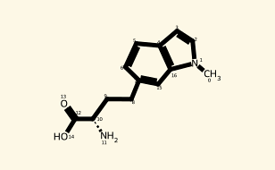 Cn1ccc2ccc(CC[C@H](N)C(=O)O)cc21